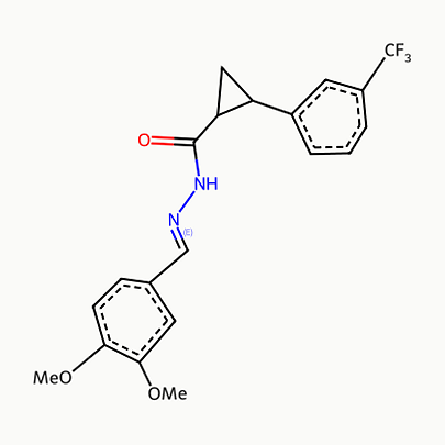 COc1ccc(/C=N/NC(=O)C2CC2c2cccc(C(F)(F)F)c2)cc1OC